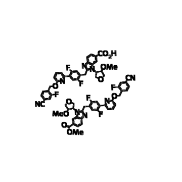 COC(=O)c1ccc2nc(Cc3cc(F)c(-c4cccc(OCc5ccc(C#N)cc5F)n4)cc3F)n([C@@H]3COC[C@@H]3OC)c2c1.CO[C@H]1COC[C@H]1n1c(Cc2cc(F)c(-c3cccc(OCc4ccc(C#N)cc4F)n3)cc2F)nc2ccc(C(=O)O)cc21